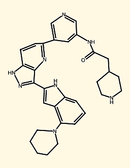 O=C(CC1CCNCC1)Nc1cncc(-c2ccc3[nH]nc(-c4cc5c(N6CCCCC6)cccc5[nH]4)c3n2)c1